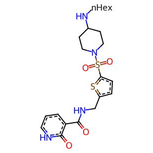 CCCCCCNC1CCN(S(=O)(=O)c2ccc(CNC(=O)c3ccc[nH]c3=O)s2)CC1